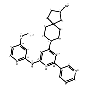 CC(=O)N1CCC2(CCN(c3cc(Nc4cc(OC(F)(F)F)ccn4)nc(-c4cccnc4)n3)CC2)C1